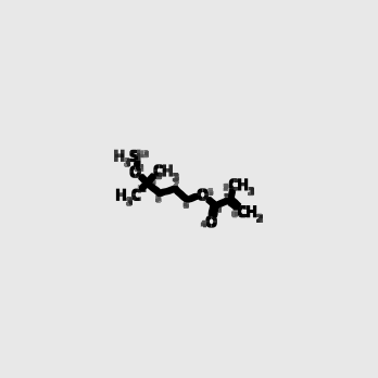 C=C(C)C(=O)OCCCC(C)(C)O[SiH3]